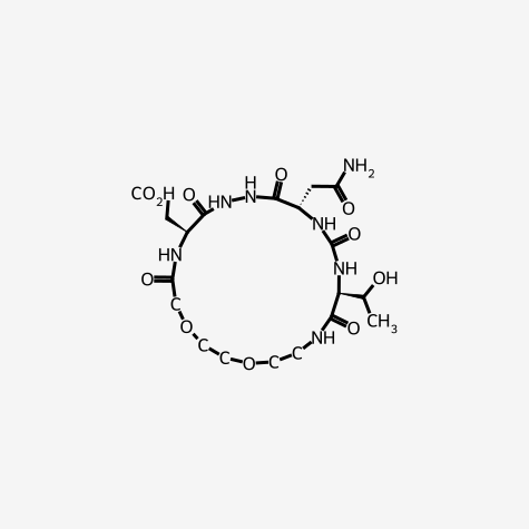 CC(O)[C@@H]1NC(=O)N[C@@H](CC(N)=O)C(=O)NNC(=O)[C@H](CC(=O)O)NC(=O)COCCOCCNC1=O